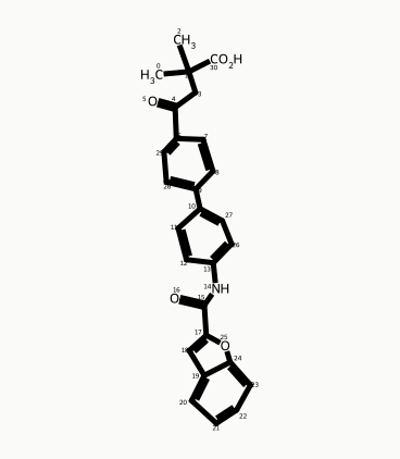 CC(C)(CC(=O)c1ccc(-c2ccc(NC(=O)c3cc4ccccc4o3)cc2)cc1)C(=O)O